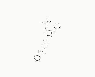 CN(c1ccccc1)c1cc(/C=C2\SC(=O)NC2=O)nc(N2CC3CN(C(=O)Nc4ccccc4)CC3C2)n1